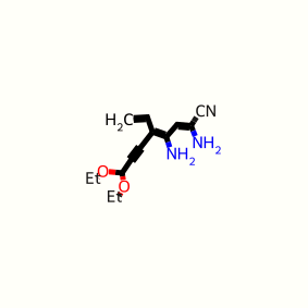 C=C/C(C#CC(OCC)OCC)=C(N)\C=C(/N)C#N